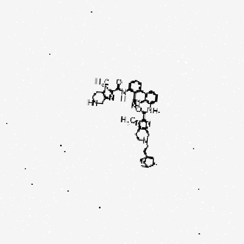 Cn1c(C(=O)Nc2cccc(-c3cccc(NC(=O)c4nc5c(n4C)CCNC5)c3C#N)c2Cl)nc2c1CCN(CCC13CCC(CC1)C3)C2